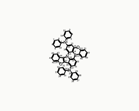 c1ccc(N(c2ccccc2)c2cc3c4c(c2)-n2c5c(ccc(N(c6ccccc6)c6ccccc6)c5c5oc6ccccc6c52)B4c2ccccc2O3)cc1